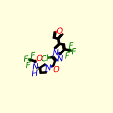 O=C(c1nc2c(C(F)(F)F)cc(-c3ccoc3)cn2c1Cl)N1CC[C@@H](NC(=O)C(F)(F)F)C1